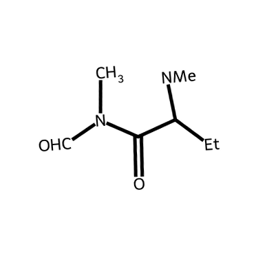 CCC(NC)C(=O)N(C)C=O